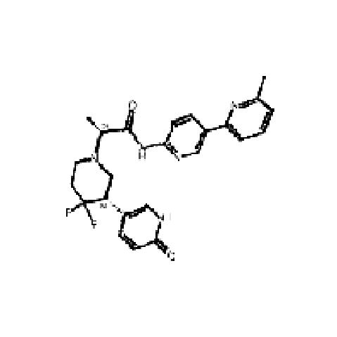 Cc1cccc(-c2ccc(NC(=O)[C@H](C)N3CCC(F)(F)[C@@H](c4ccc(=O)[nH]c4)C3)nc2)n1